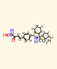 CC1CCC([C@](NCc2ccc(/C=C/C(=O)NO)cc2)(C(=O)O)C2CCCCC2)C1